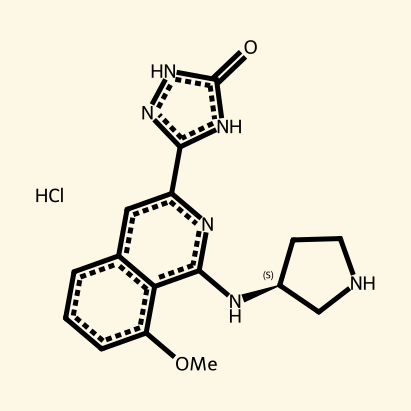 COc1cccc2cc(-c3n[nH]c(=O)[nH]3)nc(N[C@H]3CCNC3)c12.Cl